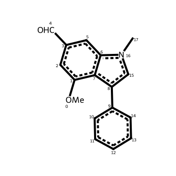 COc1cc(C=O)cc2c1c(-c1ccccc1)cn2C